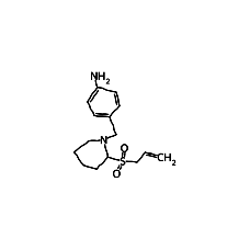 C=CCS(=O)(=O)C1CCCCN1Cc1ccc(N)cc1